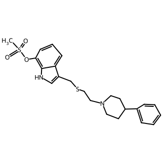 CS(=O)(=O)Oc1cccc2c(CSCCN3CCC(c4ccccc4)CC3)c[nH]c12